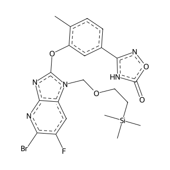 Cc1ccc(-c2noc(=O)[nH]2)cc1Oc1nc2nc(Br)c(F)cc2n1COCC[Si](C)(C)C